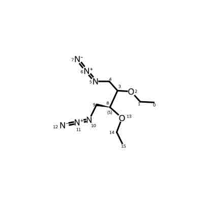 CCOC(CN=[N+]=[N-])[C@H](CN=[N+]=[N-])OCC